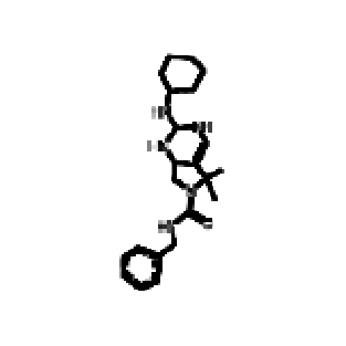 CC1(C)C2=CNC(NC3CCCCC3)NC2CN1C(=O)NCc1ccccc1